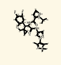 CC1=N[N+](C)(C)C(C)=C1n1cc(NC(=O)C(NC(=O)c2ccnn2C(C)C)C2c3cc(F)c(F)cc3OCC23CC3)cn1